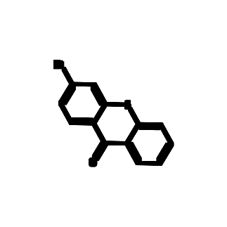 CCc1ccc2c(=O)c3ccccc3sc2c1